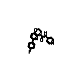 O=C(Nc1ccncc1)N1CCOc2ccc(-c3ccc(F)cc3)nc21